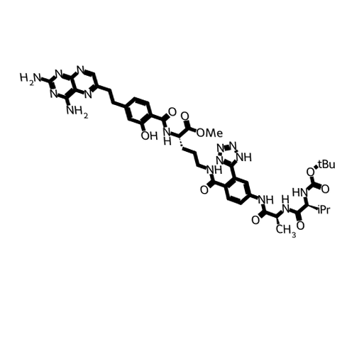 COC(=O)[C@H](CCCNC(=O)c1ccc(NC(=O)[C@H](C)NC(=O)[C@@H](NC(=O)OC(C)(C)C)C(C)C)cc1-c1nnn[nH]1)NC(=O)c1ccc(CCc2cnc3nc(N)nc(N)c3n2)cc1O